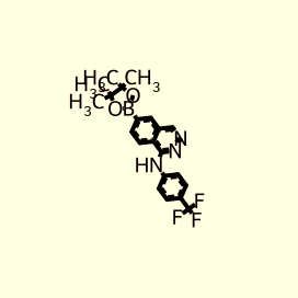 CC1(C)OB(c2ccc3c(Nc4ccc(C(F)(F)F)cc4)nncc3c2)OC1(C)C